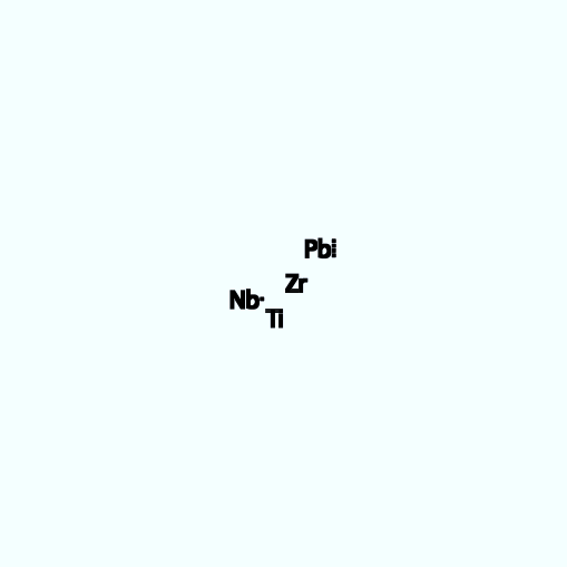 [Nb].[Pb].[Ti].[Zr]